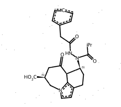 CC(C)C(=O)N(NC(=O)Cc1ccccc1)[C@H]1CCc2ccn3c2C1C(=O)C[C@H](C(=O)O)C3